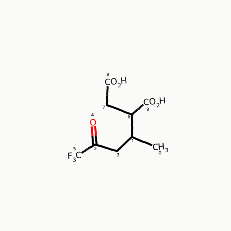 CC(CC(=O)C(F)(F)F)C(CC(=O)O)C(=O)O